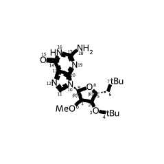 COC1C(OC(C)(C)C)[C@@H](CC(C)(C)C)O[C@H]1n1cnc2c(=O)[nH]c(N)nc21